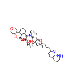 C[C@@H]1COC2(CCOCC2)c2cccc([C@@H](C(=O)O)N(C)[C@H]3C[C@H](OCCCCc4ccc5c(n4)NCCC5)C(C)(C)C3)c21